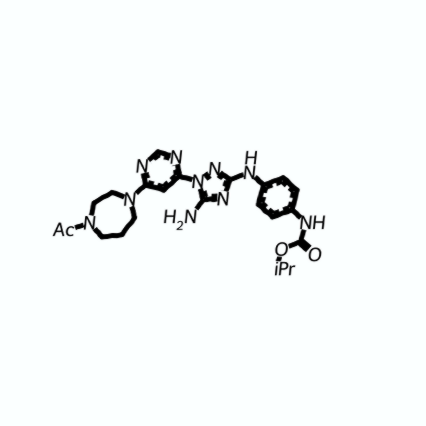 CC(=O)N1CCCN(c2cc(-n3nc(Nc4ccc(NC(=O)OC(C)C)cc4)nc3N)ncn2)CC1